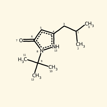 CC(C)Cc1cc(=O)n(C(C)(C)C)[nH]1